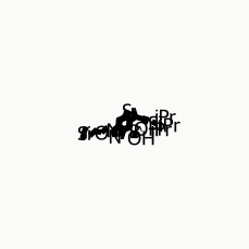 CC(C)[Si](C#Cc1csc2cc3c(cnn3COCC[Si](C)(C)C)c(B(O)O)c12)(C(C)C)C(C)C